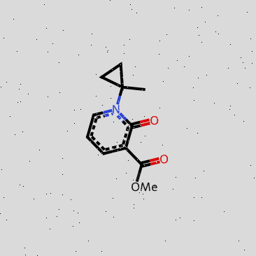 COC(=O)c1cccn(C2(C)CC2)c1=O